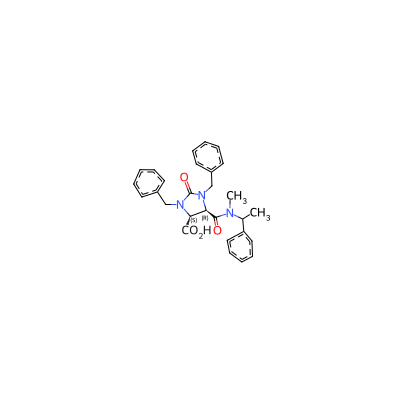 CC(c1ccccc1)N(C)C(=O)[C@H]1[C@@H](C(=O)O)N(Cc2ccccc2)C(=O)N1Cc1ccccc1